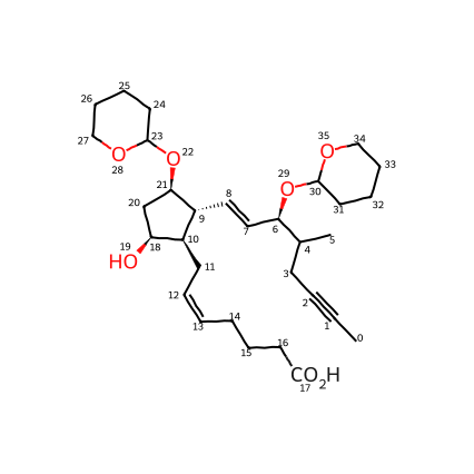 CC#CCC(C)[C@@H](/C=C/[C@@H]1[C@@H](C/C=C\CCCC(=O)O)[C@@H](O)C[C@H]1OC1CCCCO1)OC1CCCCO1